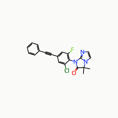 CC1(C)C(=O)N(c2c(F)cc(C#Cc3ccccc3)cc2Cl)c2nccn21